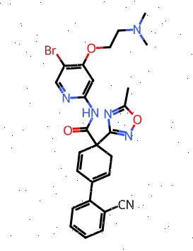 Cc1nc(C2(C(=O)Nc3cc(OCCN(C)C)c(Br)cn3)C=CC(c3ccccc3C#N)=CC2)no1